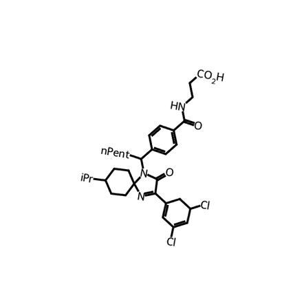 CCCCCC(c1ccc(C(=O)NCCC(=O)O)cc1)N1C(=O)C(C2=CC(Cl)=CC(Cl)C2)=NC12CCC(C(C)C)CC2